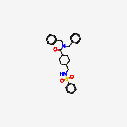 O=C(C1CCC(CNS(=O)(=O)c2ccccc2)CC1)N(Cc1ccccc1)Cc1ccccc1